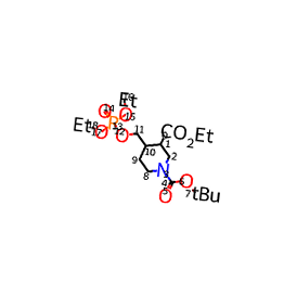 CCOC(=O)C1CN(C(=O)OC(C)(C)C)CCC1COP(=O)(OCC)OCC